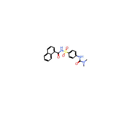 CN(C)C(=O)Nc1ccc(S(=O)(=O)NC(=O)c2cccc3ccccc23)cc1